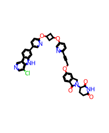 O=C1CCC(N2Cc3cc(OCC#Cc4ccc(OC5CC(Oc6ccc(-c7ccc8c(c7)[nH]c7c(Cl)cncc78)cn6)C5)cn4)ccc3C2=O)C(=O)N1